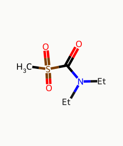 CCN(CC)C(=O)S(C)(=O)=O